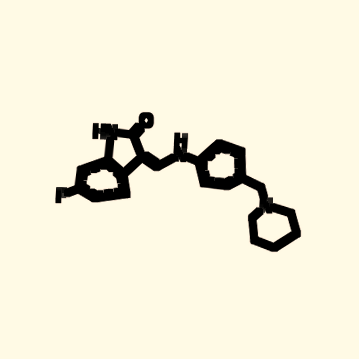 O=C1Nc2cc(F)ccc2/C1=C/Nc1ccc(CN2CCCCC2)cc1